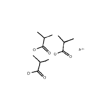 CC(C)C(=O)[O-].CC(C)C(=O)[O-].CC(C)C(=O)[O-].[Ir+3]